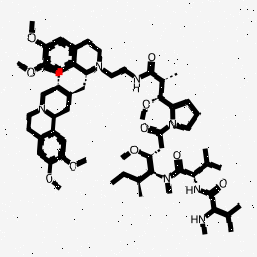 CC[C@H]1CN2CCc3cc(OC)c(OC)cc3C2C[C@@H]1C[C@@H]1c2cc(OC)c(OC)cc2CCN1CCNC(=O)[C@H](C)[C@@H](OC)C1CCCN1C(=O)C[C@@H](OC)[C@H]([C@@H](C)CC)N(C)C(=O)[C@@H](NC(=O)C(NC)C(C)C)C(C)C